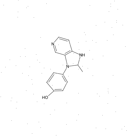 CC1Nc2ccncc2N1c1ccc(O)cc1